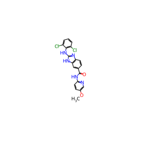 COc1ccc(NC(=O)c2ccc3nc(Nc4c(Cl)cccc4Cl)[nH]c3c2)nc1